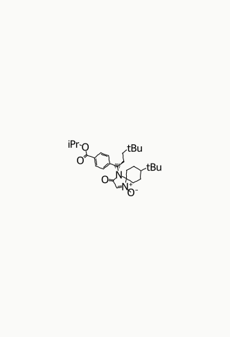 CC(C)OC(=O)c1ccc([C@@H](CCC(C)(C)C)N2C(=O)C=[N+]([O-])C23CCC(C(C)(C)C)CC3)cc1